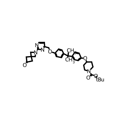 CC(C)(C)OC(=O)N1CCC(Oc2ccc(C(C)(C)c3ccc(OCc4ccnc(N5CC6(CC(=O)C6)C5)n4)cc3)cc2)CC1